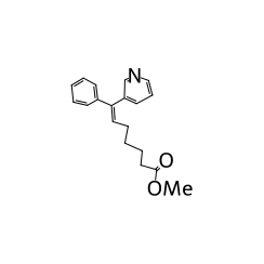 COC(=O)CCCCC=C(c1ccccc1)c1cccnc1